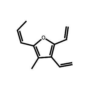 C=Cc1oc(/C=C\C)c(C)c1C=C